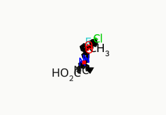 C[C@]1(c2ccc(Cl)cc2F)Oc2cccc(C3CCN(Cc4ncc(/C=C/C(=O)O)cc4CC4(C#N)CC4)CC3)c2O1